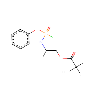 CC(COC(=O)C(C)(C)C)NP(=O)(Cl)Oc1ccccc1